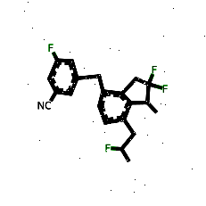 CC(F)Cc1ccc(Cc2cc(F)cc(C#N)c2)c2c1C(C)C(F)(F)C2